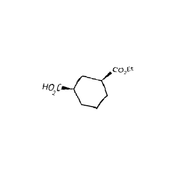 CCOC(=O)[C@H]1CCC[C@@H](C(=O)O)C1